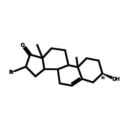 CC12CCC3C(CC=C4C[C@H](O)CCC43C)C1CC(Br)C2=O